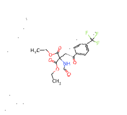 CCOC(=O)C(CC(=O)c1ccc(C(F)(F)F)cc1)(NC=O)C(=O)OCC